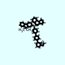 CC1(C)c2ccccc2-c2ccc(N(c3ccc(-c4ccc(-c5cccc6ccoc56)cc4)cc3)c3cc4ccccc4c4ccccc34)cc21